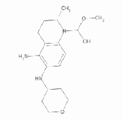 COC(O)N1c2ccc(NC3CCOCC3)c(N)c2CC[C@@H]1C